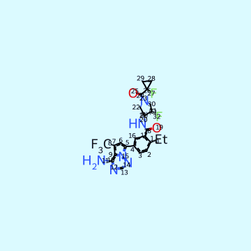 CCc1ccc(-c2cc(C(F)(F)F)c3c(N)ncnn23)cc1C(=O)N[C@@H]1CN(C(=O)C2(F)CC2)C[C@@H]1F